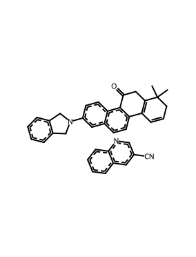 CC1(C)CC=CC2=C1CC(=O)c1c2ccc2cc(N3Cc4ccccc4C3)ccc12.N#Cc1cnc2ccccc2c1